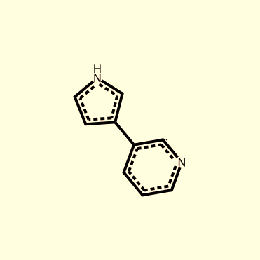 [c]1ncccc1-c1cc[nH]c1